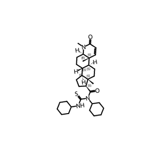 CN1C(=O)C=C[C@]2(C)[C@H]3CC[C@]4(C)[C@@H](C(=O)N(C(=S)NC5CCCCC5)C5CCCCC5)CC[C@H]4[C@@H]3CC[C@@H]12